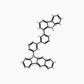 c1cc(-c2cccc(-n3c4ccccc4c4cc5ccccc5cc43)c2)cc(-c2cccc3c2sc2ccccc23)c1